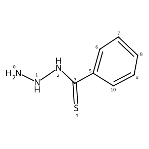 NNNC(=S)c1ccccc1